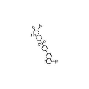 CNc1ccnc2cc(-c3ccc(S(=O)(=O)C4CCC5(CC4)CC(C4CC4)C(=O)CN5)cc3)ccc12